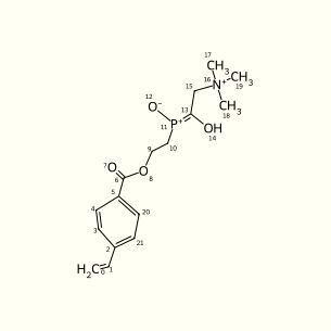 C=Cc1ccc(C(=O)OCC/[P+]([O-])=C(\O)C[N+](C)(C)C)cc1